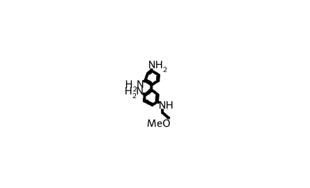 COCCNc1ccc(N)c(-c2ccc(N)cc2N)c1